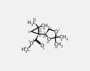 COC(=O)[C@@]1([C@H]2COC(C)(C)O2)CC1(C)C